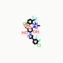 Cc1nc([C@@H]2O[C@H](CO)[C@H](O)[C@H](n3cc(-c4ccc(Cl)c(F)c4F)cn3)[C@H]2O)n(-c2cc(Cl)ccc2C(F)(F)F)n1